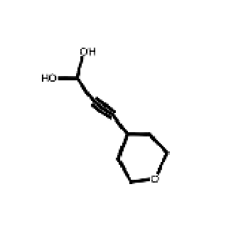 OC(O)C#CC1CCOCC1